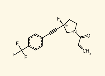 C=CC(=O)N1CC[C@@](F)(C#Cc2ccc(C(F)(F)F)cc2)C1